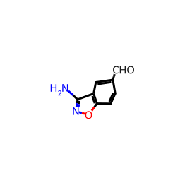 Nc1noc2ccc(C=O)cc12